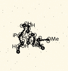 CC(C)C(CC/C=C/CC1C(=O)CC(O)C1OCC(O)COc1ccccc1)C(=O)OC(=O)CCC/C=C\CC1C(=O)CC(O)C1OCC(C)(O)COc1ccccc1.COC(=O)CCC=C=CC[C@@H]1C(=O)C[C@H](O)[C@H]1OC[C@@H](O)COc1ccccc1.COC(=O)CCCC=CCC1C(=O)CC(O)C1OCC(O)COc1ccccc1